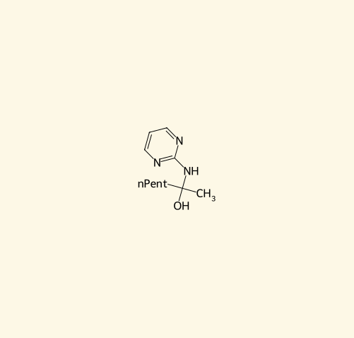 CCCCCC(C)(O)Nc1ncccn1